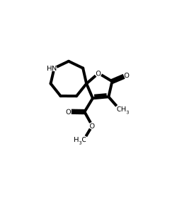 COC(=O)C1=C(C)C(=O)OC12CCCNCC2